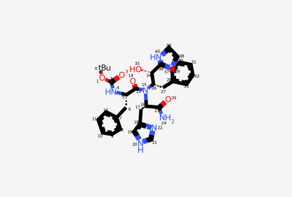 CC(C)(C)OC(=O)N[C@@H](Cc1ccccc1)C(=O)N([C@@H](Cc1c[nH]cn1)C(N)=O)[C@@H](Cc1ccccc1)[C@H](O)c1ncc[nH]1